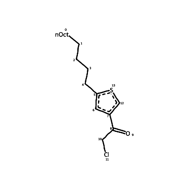 CCCCCCCCCCCCc1cc(C(=O)CCl)cs1